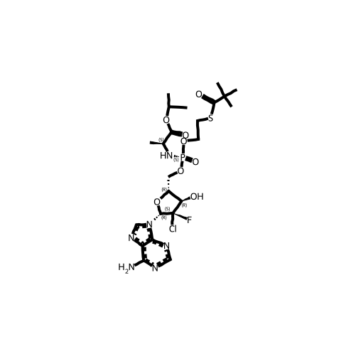 CC(C)OC(=O)[C@H](C)N[P@@](=O)(OCCSC(=O)C(C)(C)C)OC[C@H]1O[C@@H](n2cnc3c(N)ncnc32)[C@@](F)(Cl)[C@@H]1O